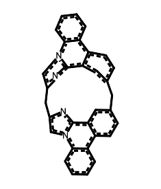 c1ccc2c(c1)c1ccc3cc1c1nc(cn21)Cc1cn2c4ccccc4c4ccc(cc4c2n1)C3